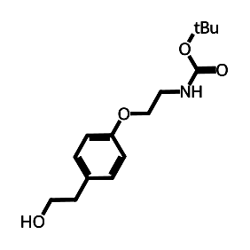 CC(C)(C)OC(=O)NCCOc1ccc(CCO)cc1